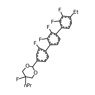 CCCC1(F)COC(c2ccc(-c3ccc(-c4ccc(CC)c(F)c4F)c(F)c3F)c(F)c2)OC1